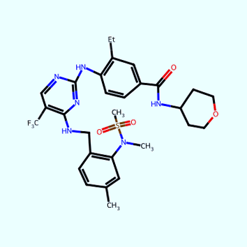 CCc1cc(C(=O)NC2CCOCC2)ccc1Nc1ncc(C(F)(F)F)c(NCc2ccc(C)cc2N(C)S(C)(=O)=O)n1